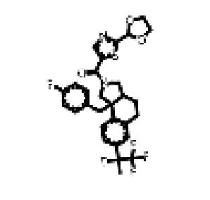 CC(F)(c1ccc2c(c1)CCC1CN(C(=O)c3cnc(C4OCCO4)s3)CC21Cc1ccc(F)cc1)C(F)(F)F